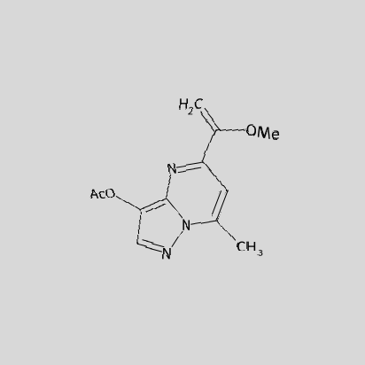 C=C(OC)c1cc(C)n2ncc(OC(C)=O)c2n1